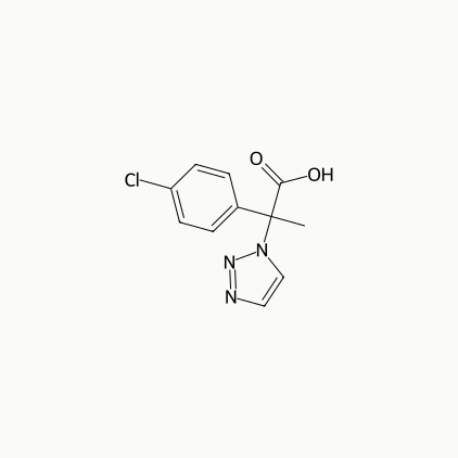 CC(C(=O)O)(c1ccc(Cl)cc1)n1ccnn1